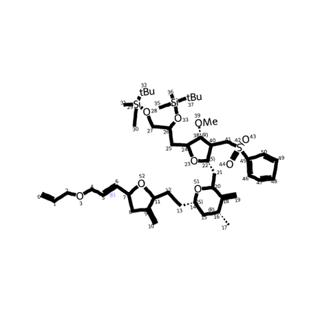 C=CCOC/C=C/C1CC(=C)C(CC[C@H]2C[C@@H](C)C(=C)C(C[C@@H]3OC(CC(CO[Si](C)(C)C(C)(C)C)O[Si](C)(C)C(C)(C)C)[C@H](OC)C3CS(=O)(=O)c3ccccc3)O2)O1